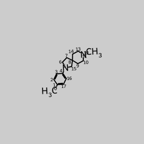 Cc1ccc(N2CCC3(CCN(C)CC3)C2)cc1